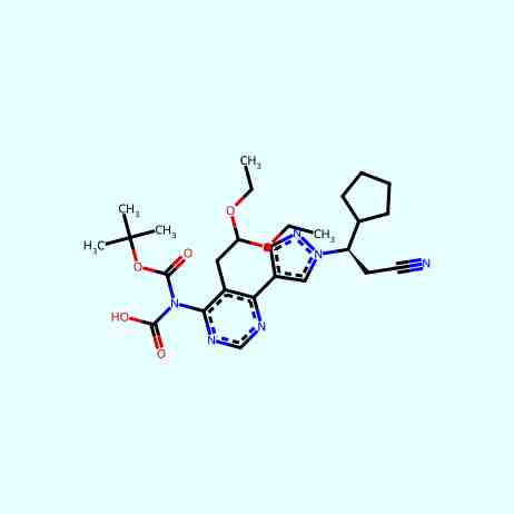 CCOC(Cc1c(-c2cnn([C@H](CC#N)C3CCCC3)c2)ncnc1N(C(=O)O)C(=O)OC(C)(C)C)OCC